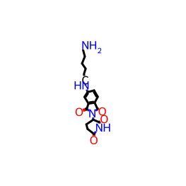 NCCCCCCNc1ccc2c(c1)C(=O)N(C1CCC(=O)NC1=O)C2=O